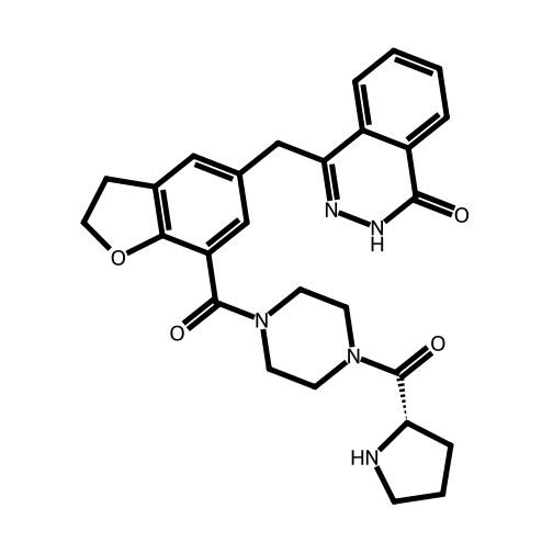 O=C(c1cc(Cc2n[nH]c(=O)c3ccccc23)cc2c1OCC2)N1CCN(C(=O)[C@@H]2CCCN2)CC1